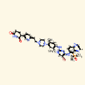 COc1cc(N2CCN(CCc3ccc(C4CCC(=O)NC4=O)cn3)CC2)c(C)cc1Nc1ncc(Br)c(Nc2ccc3nccnc3c2P(C)(C)=O)n1